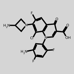 Nc1cc(-n2cc(C(=O)O)c(=O)c3cc(F)c(N4CC(N)C4)c(Cl)c32)c(F)cc1F